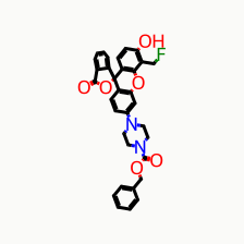 O=C1OC2(c3ccc(N4CCN(C(=O)OCc5ccccc5)CC4)cc3Oc3c2ccc(O)c3CF)c2ccccc21